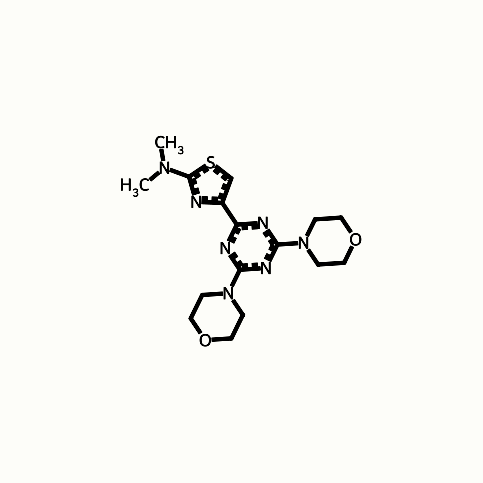 CN(C)c1nc(-c2nc(N3CCOCC3)nc(N3CCOCC3)n2)cs1